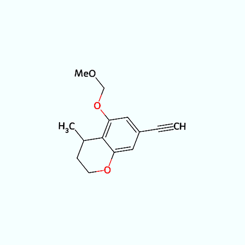 C#Cc1cc2c(c(OCOC)c1)C(C)CCO2